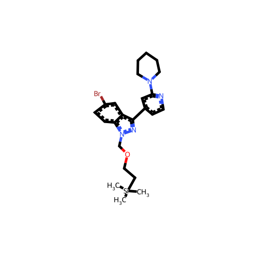 C[Si](C)(C)CCOCn1nc(-c2ccnc(N3CCCCC3)c2)c2cc(Br)ccc21